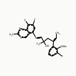 C/C=C(\CC(O)(C=Nc1cc(F)c(F)c2nc(C)ncc12)C(F)(F)F)c1cccc(F)c1OC